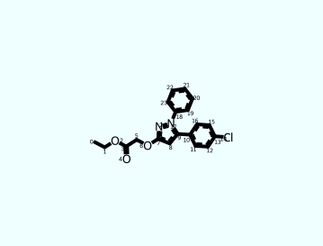 CCOC(=O)COc1cc(-c2ccc(Cl)cc2)n(-c2ccccc2)n1